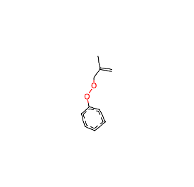 C=C(C)COOc1ccccc1